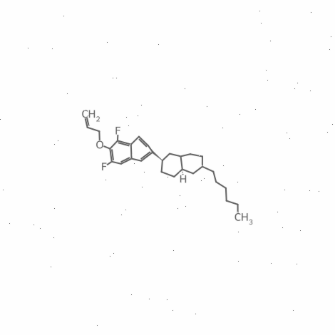 C=CCOc1c(F)cc2cc([C@@H]3CC[C@@H]4CC(CCCCCC)CCC4C3)ccc2c1F